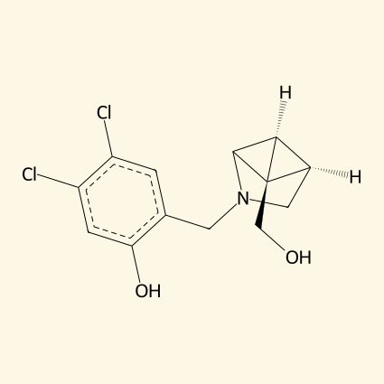 OC[C@@]12C3[C@H]1[C@H]2CN3Cc1cc(Cl)c(Cl)cc1O